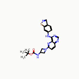 CC(C)(C)OC(=O)NC1CN(c2ccc3ncnc(Nc4ccc5cnsc5c4)c3n2)C1